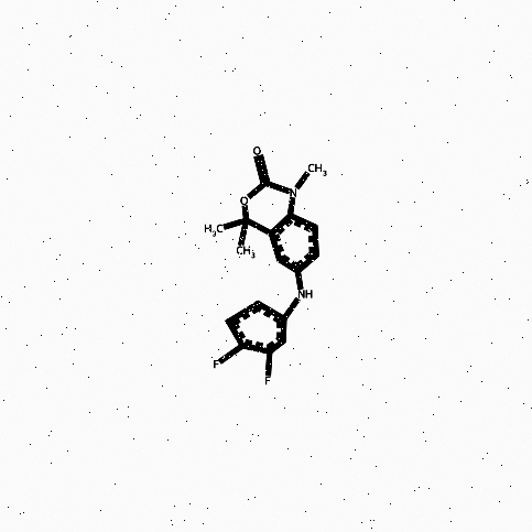 CN1C(=O)OC(C)(C)c2cc(Nc3ccc(F)c(F)c3)ccc21